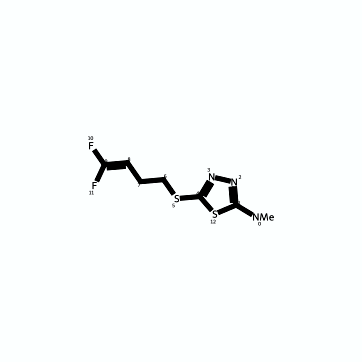 CNc1nnc(SCCC=C(F)F)s1